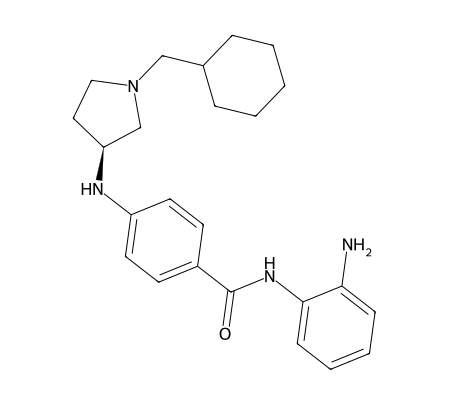 Nc1ccccc1NC(=O)c1ccc(N[C@H]2CCN(CC3CCCCC3)C2)cc1